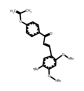 C=C(C)Oc1ccc(C(=O)C=Cc2cc(C(C)(C)C)c(OCCCC)cc2OCCCC)cc1